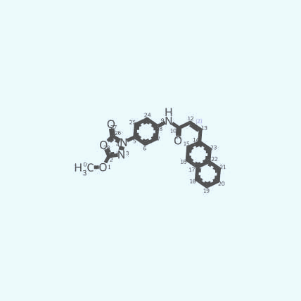 COc1nn(-c2ccc(NC(=O)/C=C\c3ccc4ccccc4c3)cc2)c(=O)o1